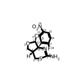 C[C@@H]1OC[C@H]2CSC(N)=N[C@]21c1cc([N+](=O)[O-])ccc1F